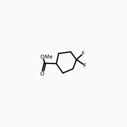 COC(=O)C1CCC(F)(F)CC1